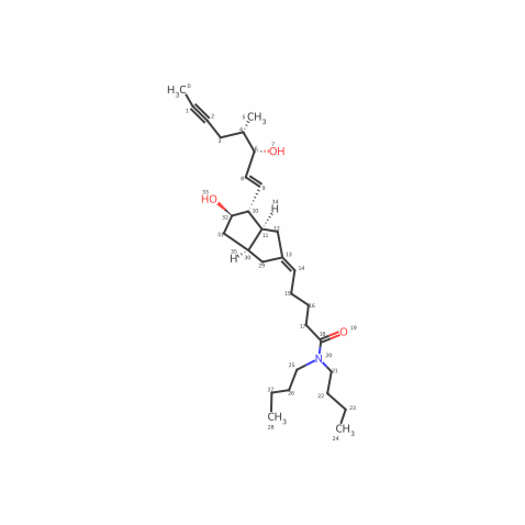 CC#CC[C@H](C)[C@H](O)/C=C/[C@@H]1[C@H]2C/C(=C/CCCC(=O)N(CCCC)CCCC)C[C@H]2C[C@H]1O